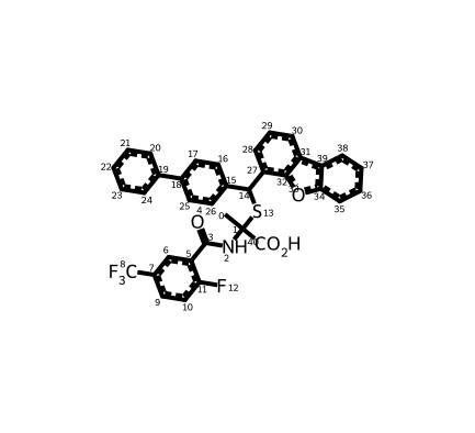 CC(NC(=O)c1cc(C(F)(F)F)ccc1F)(SC(c1ccc(-c2ccccc2)cc1)c1cccc2c1oc1ccccc12)C(=O)O